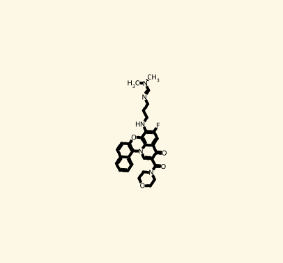 CN(C)/C=N/CCCNc1c(F)cc2c(=O)c(C(=O)N3CCOCC3)cn3c2c1Oc1ccc2ccccc2c1-3